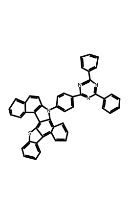 c1ccc(-c2nc(-c3ccccc3)nc(-c3ccc(-n4c5ccc6ccccc6c5c5c6sc7ccccc7c6c6ccccc6c54)cc3)n2)cc1